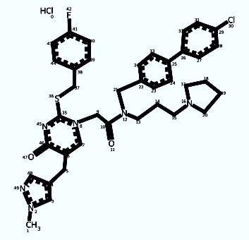 Cl.Cn1cc(Cc2cn(CC(=O)N(CCCN3CCCC3)Cc3ccc(-c4ccc(Cl)cc4)cc3)c(SCc3ccc(F)cc3)nc2=O)cn1